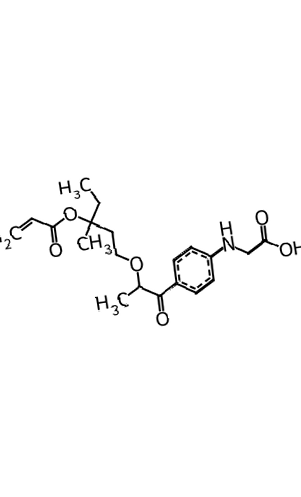 C=CC(=O)OC(C)(CC)CCOC(C)C(=O)c1ccc(NCC(=O)O)cc1